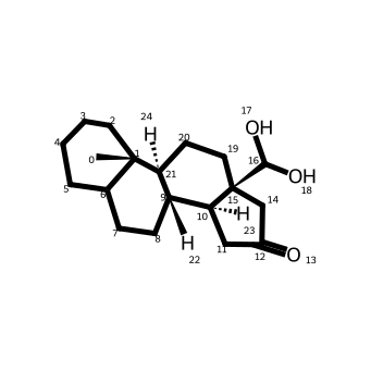 C[C@]12CCCCC1CC[C@H]1[C@@H]3CC(=O)C[C@@]3(C(O)O)CC[C@@H]12